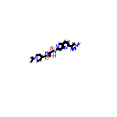 CC(C)N1CCC(c2nc(C(=O)Nc3cc4nc(-c5cn(C)nn5)ccc4cn3)co2)CC1